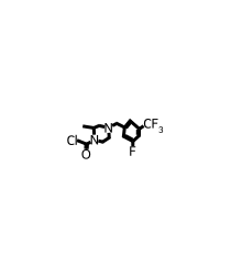 CC1CN(Cc2cc(F)cc(C(F)(F)F)c2)CCN1C(=O)Cl